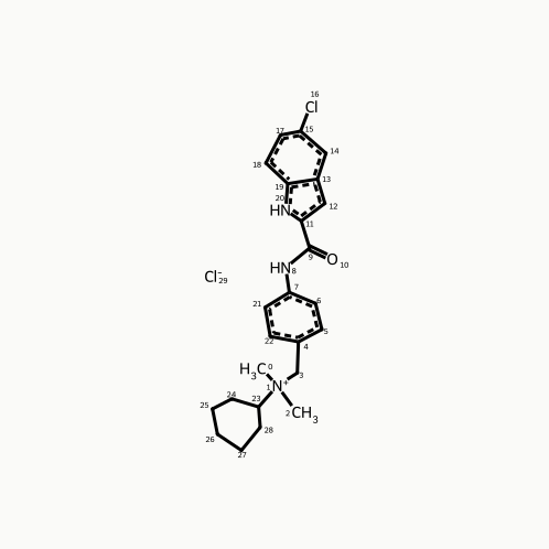 C[N+](C)(Cc1ccc(NC(=O)c2cc3cc(Cl)ccc3[nH]2)cc1)C1CCCCC1.[Cl-]